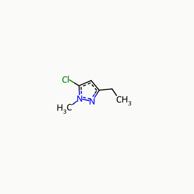 CCc1cc(Cl)n(C)n1